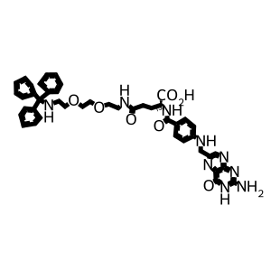 Nc1nc2ncc(CNc3ccc(C(=O)N[C@@H](CCC(=O)NCCOCCOCCNC(c4ccccc4)(c4ccccc4)c4ccccc4)C(=O)O)cc3)nc2c(=O)[nH]1